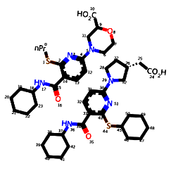 CCCSc1nc(N2CCOC(C(=O)O)C2)ccc1C(=O)NC1CCCCC1.O=C(O)C[C@H]1CCN(c2ccc(C(=O)NC3CCCCC3)c(SC3CCCCC3)n2)C1